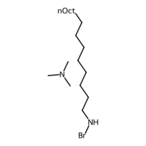 CCCCCCCCCCCCCCCCNBr.CN(C)C